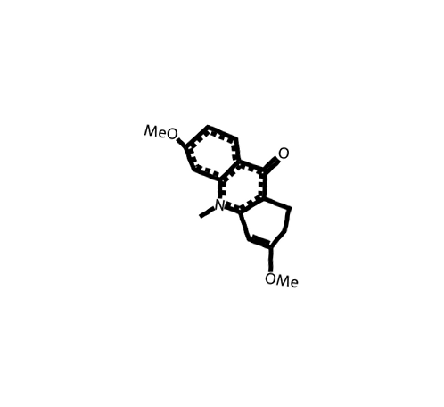 COC1=Cc2c(c(=O)c3ccc(OC)cc3n2C)CC1